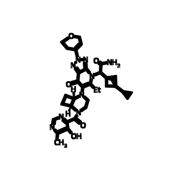 CCc1c(N2CCN(C(=O)c3ncnc(C)c3O)[C@H]3CC[C@@H]32)c(=O)c2nn(C3=CCOCC3)nc2n1C(C(N)=O)C12CC(C3CC3)(C1)C2